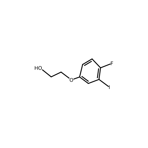 OCCOc1ccc(F)c(I)c1